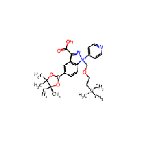 CC1(C)OB(c2ccc3c(c2)C(C(=O)O)=N[N+]3(COCC[Si](C)(C)C)c2ccncc2)OC1(C)C